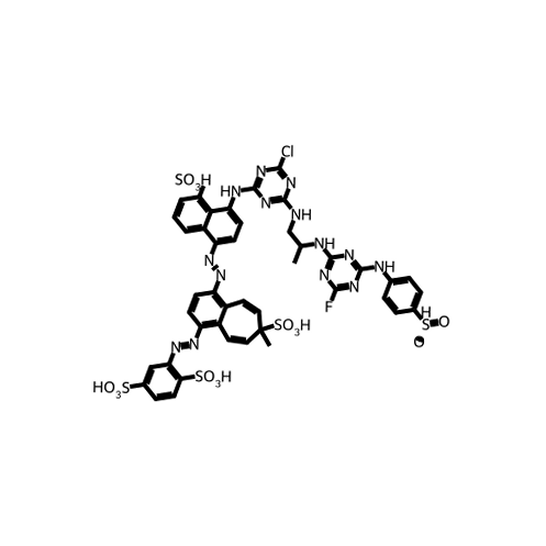 CC(CNc1nc(Cl)nc(Nc2ccc(N=Nc3ccc(N=Nc4cc(S(=O)(=O)O)ccc4S(=O)(=O)O)c4c3C=CC(C)(S(=O)(=O)O)C=C4)c3cccc(S(=O)(=O)O)c23)n1)Nc1nc(F)nc(Nc2ccc([SH](=O)=O)cc2)n1